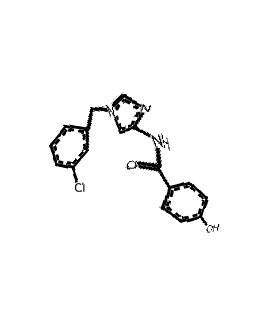 O=C(Nc1cn(Cc2cccc(Cl)c2)cn1)c1ccc(O)cc1